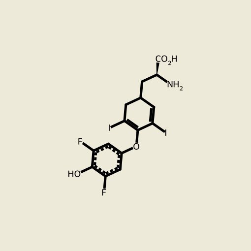 N[C@@H](CC1C=C(I)C(Oc2cc(F)c(O)c(F)c2)=C(I)C1)C(=O)O